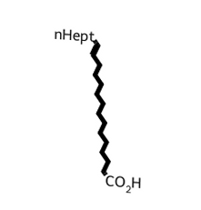 CCCCCCC/C=C/CCCCCCCCCCCCC(=O)O